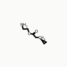 C1CC1.CCC(=O)OCCN